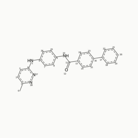 Cc1ccc(Nc2ccc(NC(=O)c3ccc(-c4ccccc4)cc3)cc2)nn1